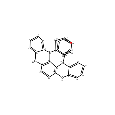 c1ccc(B2c3ccccc3Oc3ccc4c(c32)B(c2ccccc2)c2ccccc2O4)cc1